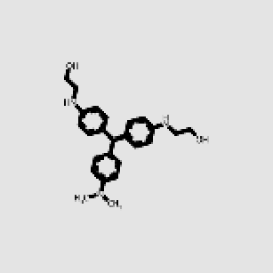 CN(C)c1ccc(C(c2ccc(NCCO)cc2)c2ccc(NCCO)cc2)cc1